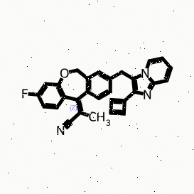 C/C(C#N)=C1\c2ccc(Cc3c(C4=CC=C4)nc4ccccn34)cc2COc2cc(F)ccc21